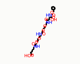 O=C(O)CCCCCNC(=O)COCCOCCNC(=O)COCCOCCNC(=O)CCC(NC(=O)OCc1ccccc1)C(=O)O